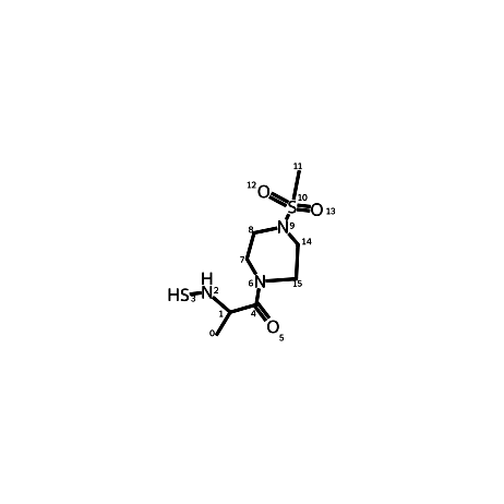 CC(NS)C(=O)N1CCN(S(C)(=O)=O)CC1